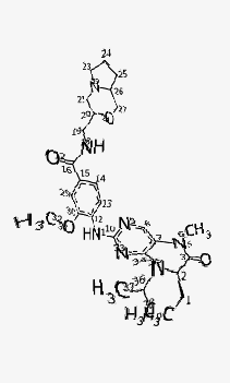 CC[C@@H]1C(=O)N(C)c2cnc(Nc3ccc(C(=O)NCC4CN5CCCC5CO4)cc3OC)nc2N1C(C)C